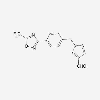 O=Cc1cnn(Cc2ccc(-c3noc(C(F)(F)F)n3)cc2)c1